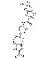 O=C(NC1CCC(N2CCOc3nc([N+](=O)[O-])cn3CC2)CC1)c1cccc(OC(F)(F)F)c1